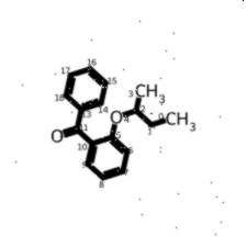 CCC(C)Oc1ccccc1C(=O)c1ccccc1